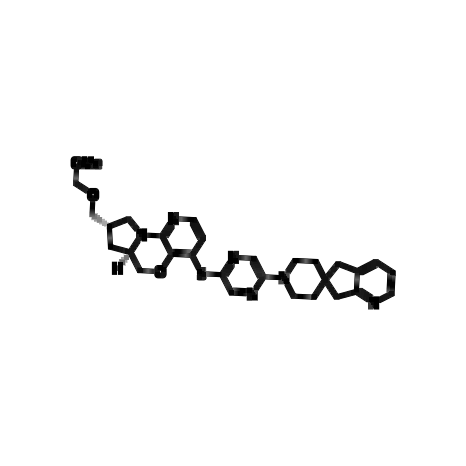 COCOC[C@H]1C[C@@H]2COc3c(Sc4cnc(N5CCC6(CC5)Cc5cccnc5C6)cn4)ccnc3N2C1